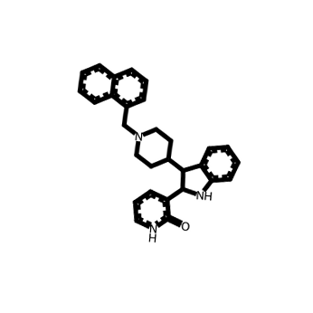 O=c1[nH]cccc1C1Nc2ccccc2C1C1CCN(Cc2cccc3ccccc23)CC1